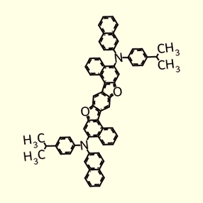 CC(C)c1ccc(N(c2ccc3ccccc3c2)c2cc3oc4cc5c(cc4c3c3ccccc23)oc2cc(N(c3ccc(C(C)C)cc3)c3ccc4ccccc4c3)c3ccccc3c25)cc1